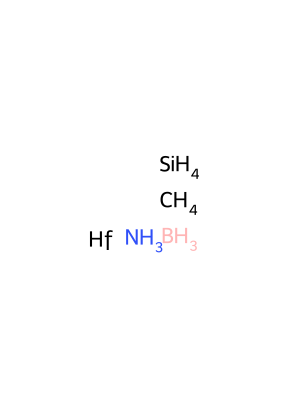 B.C.N.[Hf].[SiH4]